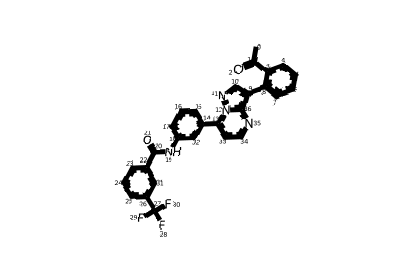 CC(=O)c1ccccc1-c1cnn2c(-c3cccc(NC(=O)c4cccc(C(F)(F)F)c4)c3)ccnc12